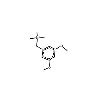 COc1cc(C[N+](C)(C)C)cc(OC)c1